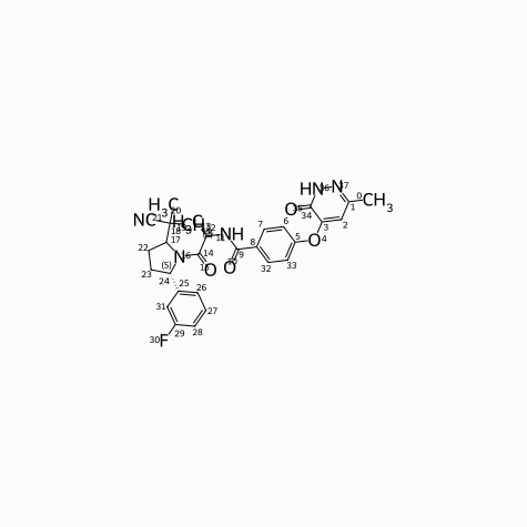 Cc1cc(Oc2ccc(C(=O)N[C@H](C)C(=O)N3C(C(C)(C)C#N)CC[C@H]3c3cccc(F)c3)cc2)c(=O)[nH]n1